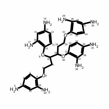 Nc1ccc(OCCC(Oc2ccc(N)cc2N)C(CCOc2ccc(N)cc2N)Oc2ccc(N)cc2N)c(N)c1